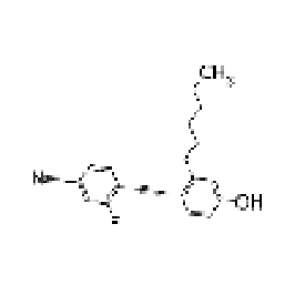 CCCCCCc1cc(O)ccc1C#Cc1ccc(C#N)cc1F